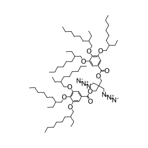 CCCCCCC(CC)COc1cc(C(=O)OCC(CN=[N+]=[N-])(CN=[N+]=[N-])COC(=O)c2cc(OCC(CC)CCCCCC)c(OCC(CC)CCCCCC)c(OCC(CC)CCCCCC)c2)cc(OCC(CC)CCCCCC)c1OCC(CC)CCCCCC